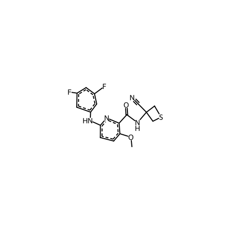 COc1ccc(Nc2cc(F)cc(F)c2)nc1C(=O)NC1(C#N)CSC1